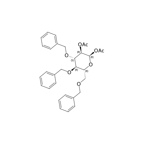 CC(=O)O[C@H]1O[C@H](COCc2ccccc2)[C@@H](OCc2ccccc2)[C@H](OCc2ccccc2)[C@H]1OC(C)=O